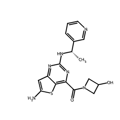 C[C@H](Nc1nc(C(=O)N2CC(O)C2)c2sc(N)cc2n1)c1cccnc1